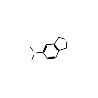 CN(C)c1ccc2c(c1)COC2